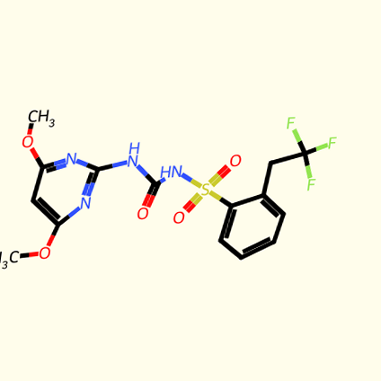 COc1cc(OC)nc(NC(=O)NS(=O)(=O)c2ccccc2CC(F)(F)F)n1